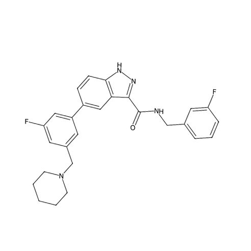 O=C(NCc1cccc(F)c1)c1n[nH]c2ccc(-c3cc(F)cc(CN4CCCCC4)c3)cc12